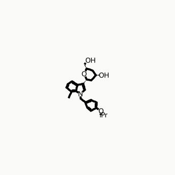 Cc1cccc2c([C@H]3C[C@@H](O)C[C@@H](CO)O3)cn(Cc3ccc(OC(C)C)cc3)c12